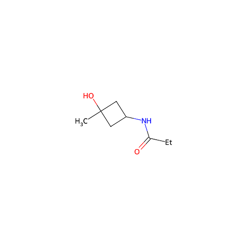 CCC(=O)NC1CC(C)(O)C1